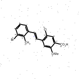 COc1cc(/C=C/c2cccc(Br)c2C)c(Cl)cc1C(=O)O